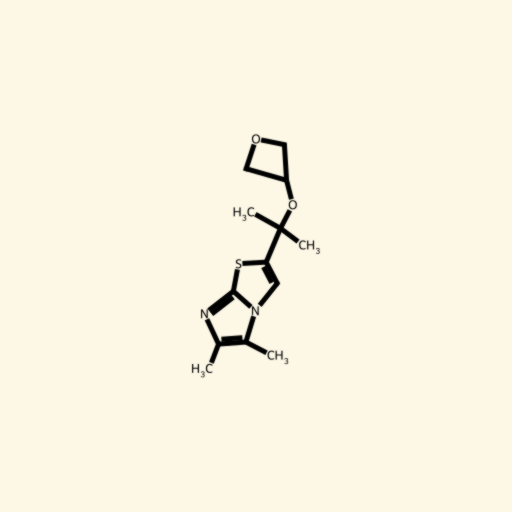 Cc1nc2sc(C(C)(C)OC3COC3)cn2c1C